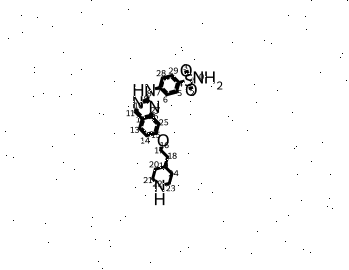 NS(=O)(=O)c1ccc(Nc2ncc3ccc(OCCC4CCNCC4)cc3n2)cc1